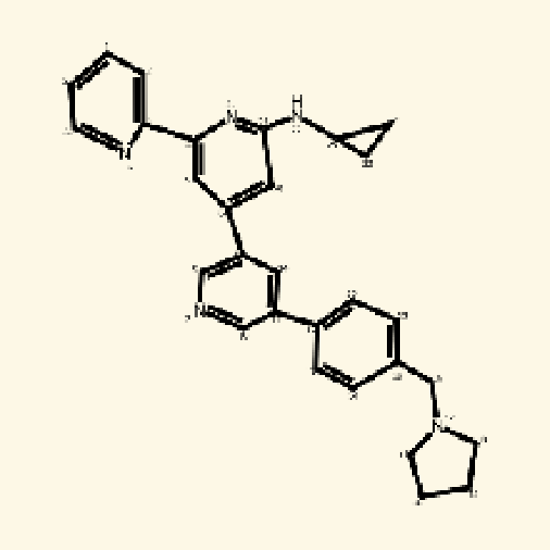 c1ccc(-c2cc(-c3cncc(-c4ccc(CN5CCCC5)cc4)c3)cc(NC3CC3)n2)nc1